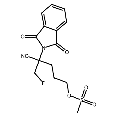 CS(=O)(=O)OCCCC(C#N)(CF)N1C(=O)c2ccccc2C1=O